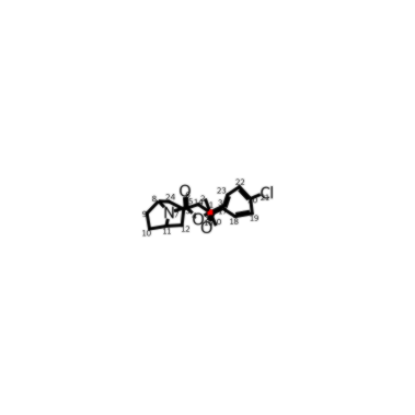 CC(C)(C)OC(=O)N1C2CCC1CC(CC(=O)c1ccc(Cl)cc1)C2